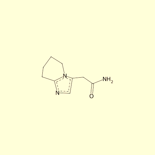 NC(=O)Cc1cnc2n1CCCC2